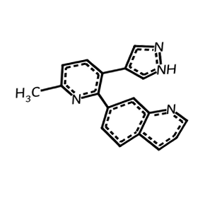 Cc1ccc(-c2cn[nH]c2)c(-c2ccc3cccnc3c2)n1